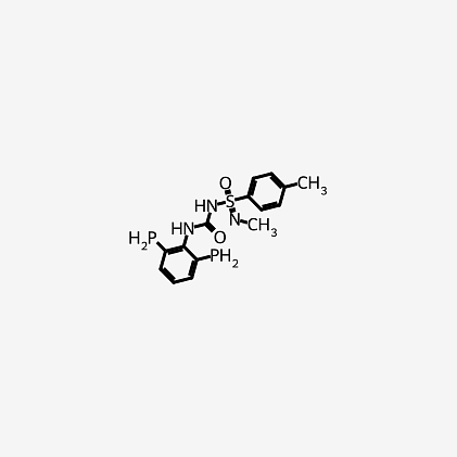 CN=S(=O)(NC(=O)Nc1c(P)cccc1P)c1ccc(C)cc1